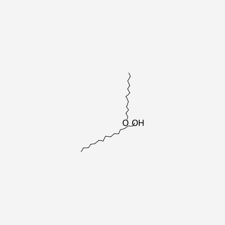 CCCCCCCCCCCCCC(CO)OCCCCCCCCCCCC